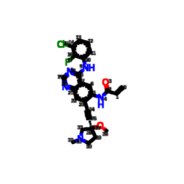 C=CC(=O)Nc1cc2c(Nc3cccc(Cl)c3F)ncnc2cc1C#C[C@]1(OC)CCN(C)C1